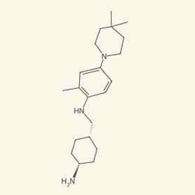 Cc1cc(N2CCC(C)(C)CC2)ccc1NC[C@H]1CC[C@H](N)CC1